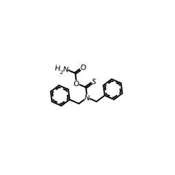 NC(=O)OC(=S)N(Cc1ccccc1)Cc1ccccc1